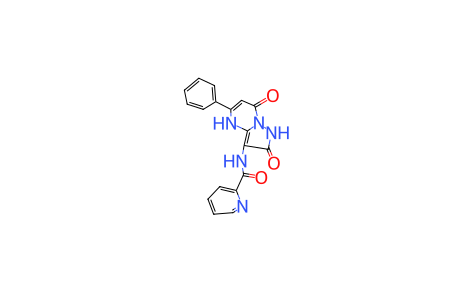 O=C(Nc1c(=O)[nH]n2c(=O)cc(-c3ccccc3)[nH]c12)c1ccccn1